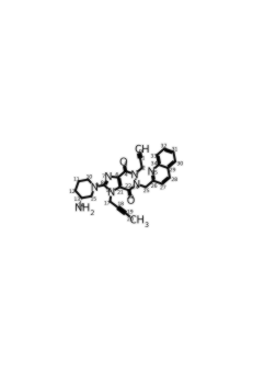 C#CCn1c(=O)c2nc(N3CCC[C@@H](N)C3)n(CC#CC)c2c(=O)n1Cc1ccc2ccccc2n1